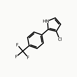 FC(F)(F)c1ccc(-c2[nH]ccc2Cl)cc1